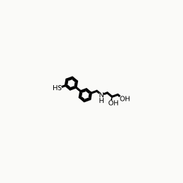 OC[C@@H](O)CNCc1cccc(-c2cccc(S)c2)c1